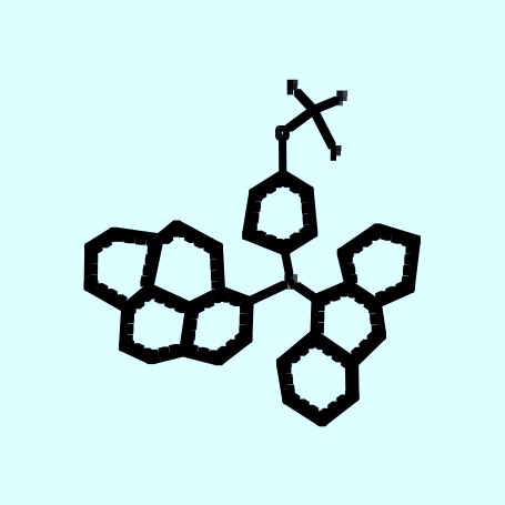 FC(F)(F)Oc1ccc(N(c2c3ccccc3cc3ccccc23)c2ccc3ccc4cccc5ccc2c3c45)cc1